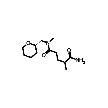 CC(C[CH]C(=O)N(C)C[C@@H]1CCCCO1)C(N)=O